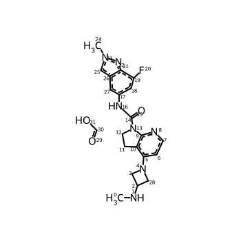 CNC1CN(c2ccnc3c2CCN3C(=O)Nc2cc(F)c3nn(C)cc3c2)C1.O=CO